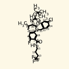 C[C@H]1Sc2cc(F)c(C(=O)NCCCC(F)(F)F)cc2N(Cc2ccc(Cl)cc2)C(=O)[C@H]1NC(=O)OC(C)(C)C